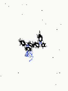 Cc1ccc(N(c2ccccc2)c2ccc(-c3ccc(N(c4ccc(C)cc4)c4ccc(N)cc4)cc3)cc2)cc1